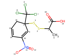 CC(SSC1(C(Cl)(Cl)Cl)C=C([N+](=O)[O-])C=CC1)C(=O)O